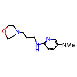 CNc1ccc(NCCCN2CCOCC2)nc1